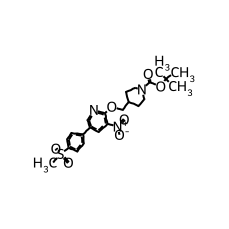 CC(C)(C)OC(=O)N1CCC(COc2ncc(-c3ccc(S(C)(=O)=O)cc3)cc2[N+](=O)[O-])CC1